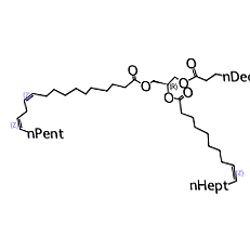 CCCCC/C=C\C/C=C\CCCCCCCCCC(=O)OC[C@@H](COC(=O)CCCCCCCCCCCC)OC(=O)CCCCCCC/C=C\CCCCCCC